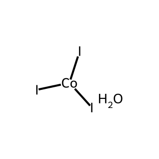 O.[I][Co]([I])[I]